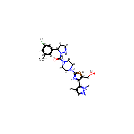 Cc1cnn(C)c1-c1nc(N2CCN(C(=O)N3N=CCC3c3cc(F)cc(C#N)c3)CC2)sc1CO